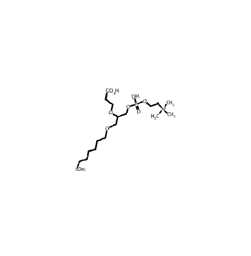 CCCCCCCCCCCCCCCCOCC(COP(=O)(O)OCC[N+](C)(C)C)OCCC(=O)O